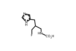 O=C(O)NCC(CF)Cc1cnc[nH]1